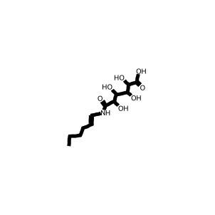 CCCCC=CNC(=O)C(O)C(O)C(O)C(O)C(=O)O